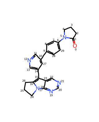 O=C1CCCN1c1ccc(-c2cncc(-c3c4n(c5ncncc35)CCC4)c2)cc1